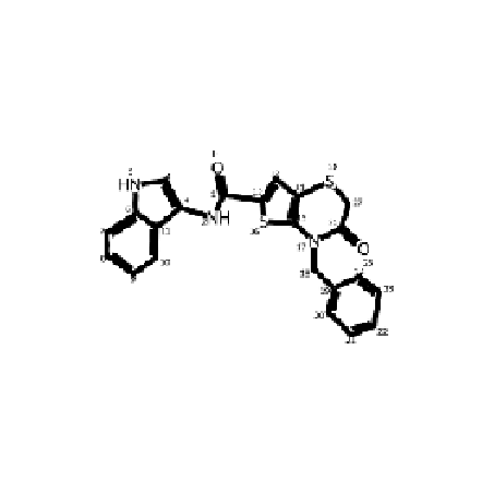 O=C(Nc1c[nH]c2ccccc12)c1cc2c(s1)N(Cc1ccccc1)C(=O)CS2